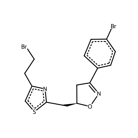 BrCCc1csc(C[C@H]2CC(c3ccc(Br)cc3)=NO2)n1